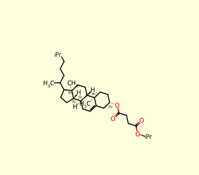 CC(C)CCCC(C)C1CC[C@H]2[C@@H]3CC=C4C[C@@H](OC(=O)CCC(=O)OC(C)C)CC[C@]4(C)[C@H]3CC[C@]12C